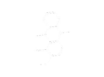 CCCCCc1ccc2c(C)c3ccccc3c(C)c2c1N=O